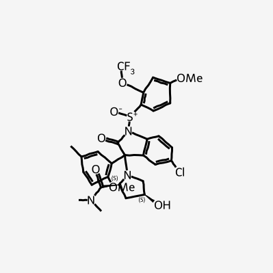 COc1ccc([S+]([O-])N2C(=O)C(c3cc(C)ccc3OC)(N3C[C@@H](O)C[C@H]3C(=O)N(C)C)c3cc(Cl)ccc32)c(OC(F)(F)F)c1